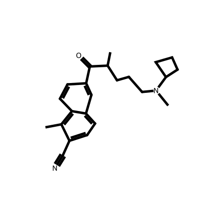 Cc1c(C#N)ccc2cc(C(=O)C(C)CCCN(C)C3CCC3)ccc12